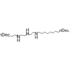 CCCCCCCCCCCCCCCCCCNCCNCCNCCCCCCCCCCCC